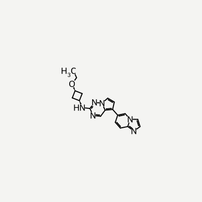 CCO[C@H]1C[C@@H](Nc2ncc3c(-c4ccc5nccn5c4)ccn3n2)C1